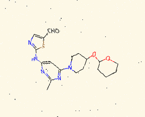 Cc1nc(Nc2ncc(C=O)s2)cc(N2CCC(OC3CCCCO3)CC2)n1